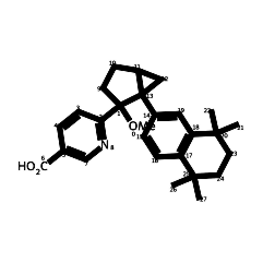 COC1(c2ccc(C(=O)O)cn2)CCC2CC21c1ccc2c(c1)C(C)(C)CCC2(C)C